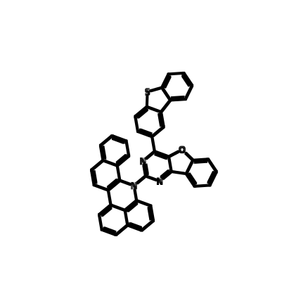 c1ccc2c3c(ccc2c1)-c1cccc2cccc(c12)N3c1nc(-c2ccc3sc4ccccc4c3c2)c2oc3ccccc3c2n1